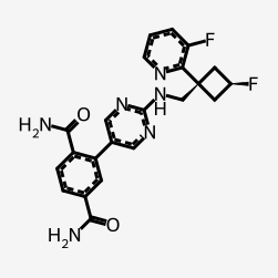 NC(=O)c1ccc(C(N)=O)c(-c2cnc(NC[C@]3(c4ncccc4F)C[C@H](F)C3)nc2)c1